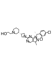 Cc1nn([C@H](C)c2ccc(Cl)cc2Cl)c2nc(N3CC([C@H]4CCCN(CCO)C4)C3)ncc12